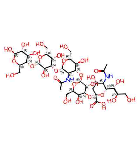 CC(=O)N[C@H]1[C@H](O[C@H]2[C@@H](O)[C@@H](CO)O[C@@H](O[C@H]3[C@H](O)[C@@H](O)[C@H](O)O[C@@H]3CO)[C@@H]2O)O[C@H](CO)[C@@H](O)[C@@H]1O[C@@H]1O[C@H](CO)[C@H](O)[C@H](O[C@]2(C(=O)O)C[C@H](O)[C@@H](NC(C)=O)[C@H]([C@H](O)[C@H](O)CO)O2)[C@H]1O